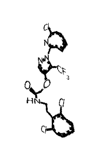 O=C(NCCc1c(Cl)cccc1Cl)Oc1cnn(-c2cccc(Cl)n2)c1C(F)(F)F